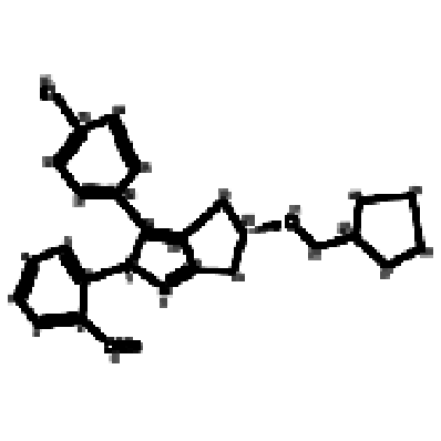 COc1ccccc1-n1nc2c(c1-c1ccc(Cl)cc1)C[C@H](OCC1CCCC1)C2